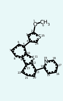 COc1cc(-c2cccc3c2sc2c(-c4ccccn4)cccc23)cs1